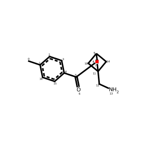 Cc1ccc(C(=O)N2CC3CC2(CN)C3)cc1